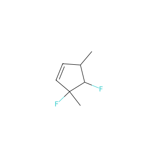 CC1C=CC(C)(F)C1F